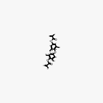 C=C(C)C(=O)Oc1cc(C)c(Oc2cc(C)c(OC(=O)C(=C)C)c(C)c2)c(C)c1